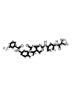 Cc1ccc(NC(=O)c2cccc(C(F)(F)F)c2)cc1-n1c(C)c2cnc(Nc3cccc(NC(=O)C(N)C(C)C)c3)nc2nc1=O